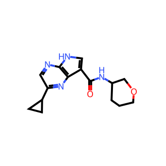 O=C(NC1CCCOC1)c1c[nH]c2ncc(C3CC3)nc12